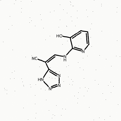 N#CC(=CNc1ncccc1O)c1nnn[nH]1